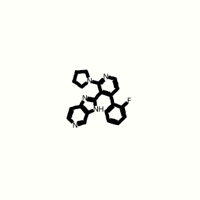 Fc1ccccc1-c1ccnc(N2CCCC2)c1-c1nc2ccncc2[nH]1